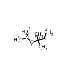 CCC(C)(C)ON(C)C